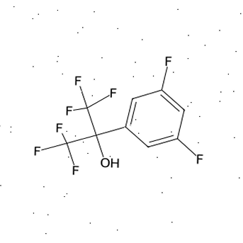 OC(c1cc(F)cc(F)c1)(C(F)(F)F)C(F)(F)F